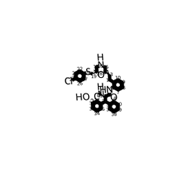 O=C(O)NC(C(=O)Nc1ccccc1CC[C@@H]1CNC[C@@H](CSc2ccc(Cl)cc2)O1)C(c1ccccc1)c1ccccc1